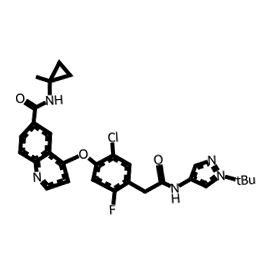 CC1(NC(=O)c2ccc3nccc(Oc4cc(F)c(CC(=O)Nc5cnn(C(C)(C)C)c5)cc4Cl)c3c2)CC1